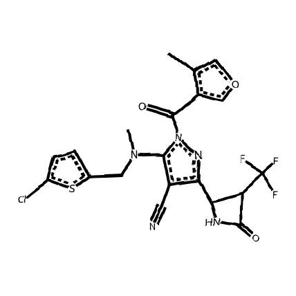 Cc1cocc1C(=O)n1nc(C2NC(=O)C2C(F)(F)F)c(C#N)c1N(C)Cc1ccc(Cl)s1